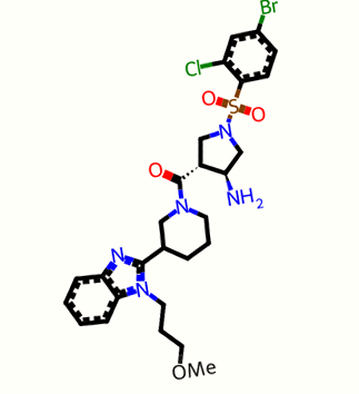 COCCCn1c(C2CCCN(C(=O)[C@@H]3CN(S(=O)(=O)c4ccc(Br)cc4Cl)C[C@H]3N)C2)nc2ccccc21